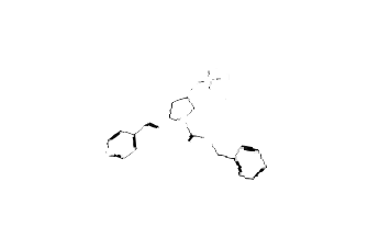 CC(C)(C)[Si](C)(C)O[C@@H]1C[C@@H](/C=C/c2ccncc2)N(C(=O)OCc2ccccc2)C1